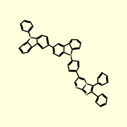 c1ccc(-c2nc3ncc(-c4ccc(-n5c6ccccc6c6cc(-c7ccc8c(c7)c7ccccc7n8-c7ccccc7)ccc65)cc4)cn3c2-c2ccccc2)cc1